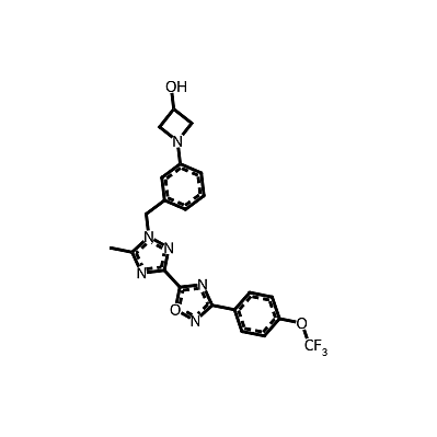 Cc1nc(-c2nc(-c3ccc(OC(F)(F)F)cc3)no2)nn1Cc1cccc(N2CC(O)C2)c1